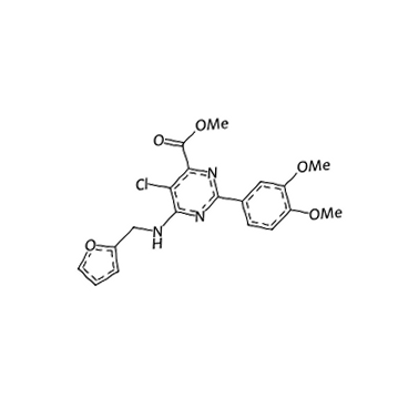 COC(=O)c1nc(-c2ccc(OC)c(OC)c2)nc(NCc2ccco2)c1Cl